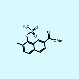 COC(=O)c1ccc2ccc(C)c(OS(=O)(=O)C(F)(F)F)c2c1